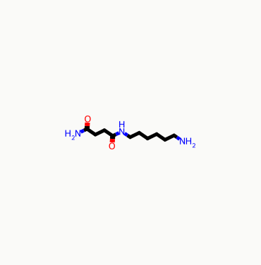 NCCCCCCNC(=O)CCC(N)=O